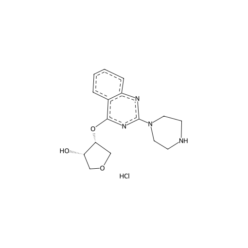 Cl.O[C@H]1COC[C@H]1Oc1nc(N2CCNCC2)nc2ccccc12